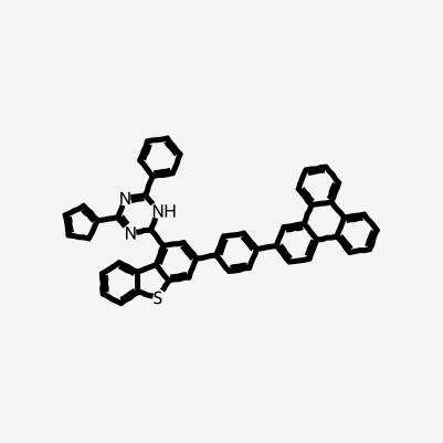 C1=CCC(C2=NC(c3cc(-c4ccc(-c5ccc6c7ccccc7c7ccccc7c6c5)cc4)cc4sc5ccccc5c34)NC(c3ccccc3)=N2)=C1